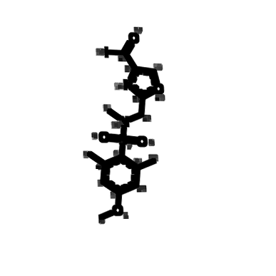 COc1cc(C)c(S(=O)(=O)N(C)Cc2nc(C(=O)I)co2)c(C)c1